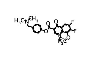 CCn1cc(C(=O)Oc2ccc(CN(C)C)cc2)c(=O)c2cc(F)c(F)c(OC(F)(F)F)c21